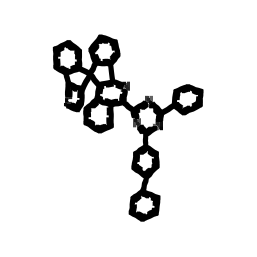 c1ccc(-c2ccc(-c3nc(-c4ccccc4)nc(-c4nc5c(c6ccccc46)C4(c6ccccc6-c6ccccc64)c4ccccc4-5)n3)cc2)cc1